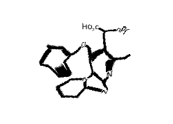 CCCC(C(=O)O)c1c(C)nc2nc3n(c2c1Oc1ccccc1)CCCC3